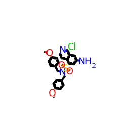 COc1ccc(CN(Cc2ccc(OC)cc2)S(=O)(=O)c2cc(N)cc3c(Cl)nccc23)cc1